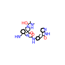 CNCc1ccccc1CN(CC(=O)Nc1ccc2c(c1)C[C@@]1(C2)C(=O)Nc2ncccc21)C(=O)C1(C)CCN(C(O)C(C)NC)CC1